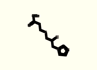 COC(=O)CCSCC(Cl)Cn1ccnc1